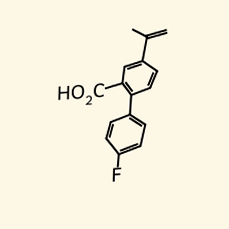 C=C(C)c1ccc(-c2ccc(F)cc2)c(C(=O)O)c1